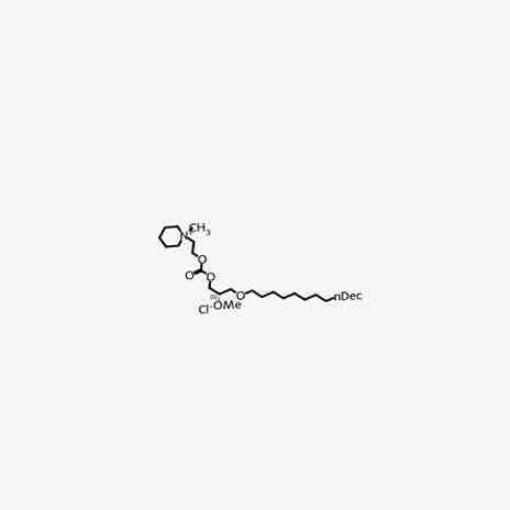 CCCCCCCCCCCCCCCCCCOC[C@@H](COC(=O)OCC[N+]1(C)CCCCC1)OC.[Cl-]